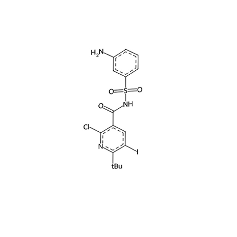 CC(C)(C)c1nc(Cl)c(C(=O)NS(=O)(=O)c2cccc(N)c2)cc1I